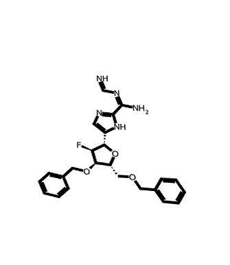 N=C/N=C(/N)c1ncc([C@@H]2O[C@H](COCc3ccccc3)[C@@H](OCc3ccccc3)[C@H]2F)[nH]1